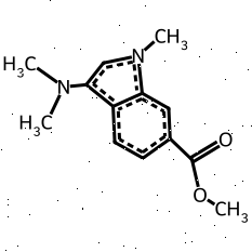 COC(=O)c1ccc2c(N(C)C)cn(C)c2c1